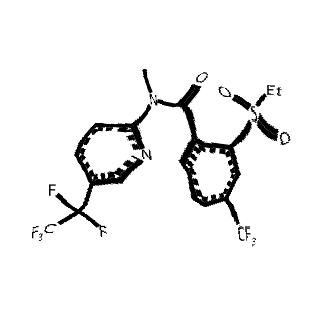 CCS(=O)(=O)c1cc(C(F)(F)F)ccc1C(=O)N(C)c1ccc(C(F)(F)C(F)(F)F)cn1